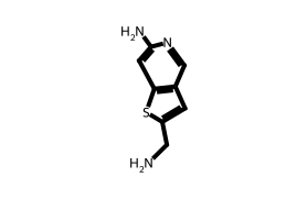 NCc1cc2cnc(N)cc2s1